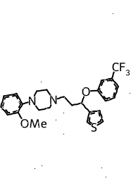 COc1ccccc1N1CCN(CCC(Oc2cccc(C(F)(F)F)c2)c2ccsc2)CC1